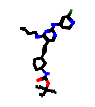 CCCNc1nc(Nc2ccnc(F)c2)ncc1C#C[C@@H]1CCC[C@H](NC(=O)OC(C)(C)C)C1